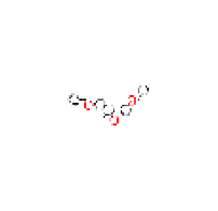 CC(C(=O)C(C)c1cccc(OCc2ccccc2)c1)c1cccc(OCc2ccccc2)c1